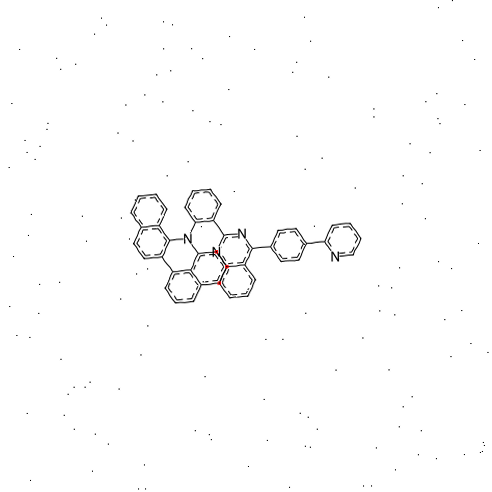 c1ccc(-c2ccc(-c3nc(-c4ccccc4N4c5c(ccc6ccccc56)-c5cccc6cccc4c56)nc4ccccc34)cc2)nc1